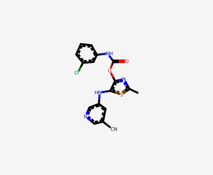 Cc1nc(OC(=O)Nc2cccc(Cl)c2)c(Nc2cncc(C#N)c2)s1